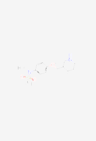 CN(c1ccc(OCC2CCCNC2)cc1)S(C)(=O)=O